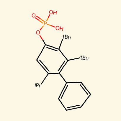 CC(C)c1cc(OP(=O)(O)O)c(C(C)(C)C)c(C(C)(C)C)c1-c1ccccc1